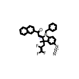 CC1(CC(F)=C(F)F)/C(=C/C(=O)c2ccc3ccccc3c2)N(Cc2ccccc2)c2ccc(N=[N+]=[N-])cc21